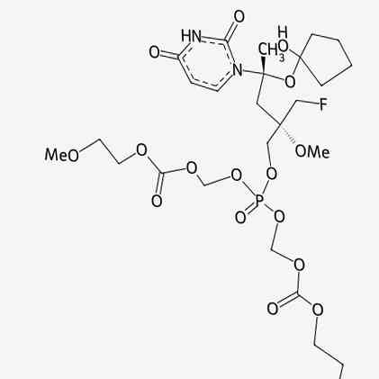 COCCOC(=O)OCOP(=O)(OCOC(=O)OCCOC)OC[C@](CF)(C[C@@](C)(OC1(O)CCCC1)n1ccc(=O)[nH]c1=O)OC